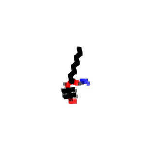 CCCCCCCC(=O)OC(C)(C)C(C)(C)O.N